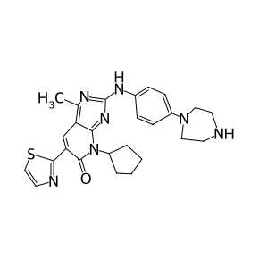 Cc1nc(Nc2ccc(N3CCNCC3)cc2)nc2c1cc(-c1nccs1)c(=O)n2C1CCCC1